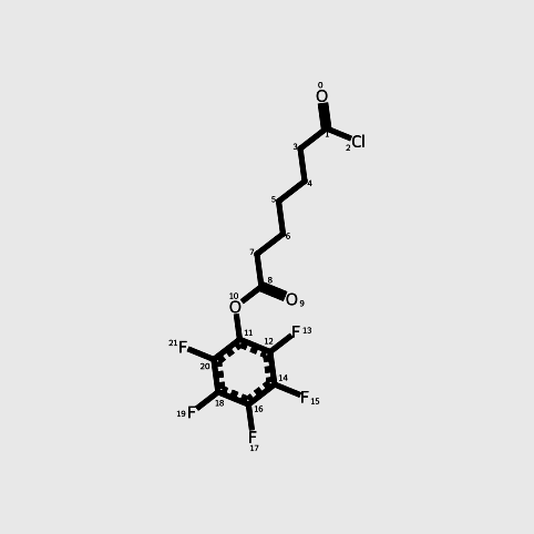 O=C(Cl)CCCCCC(=O)Oc1c(F)c(F)c(F)c(F)c1F